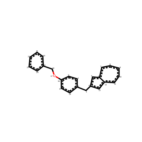 [c]1cc(Cc2cc3cccccc-3c2)ccc1OCc1ccccc1